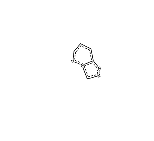 [c]1nnc2cccnn12